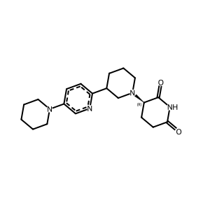 O=C1CC[C@@H](N2CCCC(c3ccc(N4CCCCC4)cn3)C2)C(=O)N1